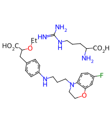 CCOC(Cc1ccc(NCCCN2CCOc3cc(F)ccc32)cc1)C(=O)O.N=C(N)NCCCC(N)C(=O)O